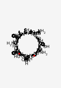 CCCC[C@H]1C(=O)N(C)[C@@H](CCCC)C(=O)N[C@@H](CC(C)C)C(=O)N[C@H](C(=O)NCC(N)=O)CSCC(=O)N[C@@H](Cc2ccc(O)cc2)C(=O)N(C)[C@@H](C)C(=O)N[C@@H](CC(N)=O)C(=O)N2CCC[C@H]2C(=O)N[C@@H](Cc2c[nH]cn2)C(=O)N[C@@H](CCC(=O)O)C(=O)N2C[C@H](O)C[C@H]2C(=O)N[C@@H]([C@@H](C)c2c[nH]c3ccccc23)C(=O)N[C@@H](CCN)C(=O)N[C@@H](Cc2c[nH]c3ccccc23)C(=O)N1C